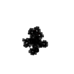 CC1(C)CCC(C)(C)c2cc(Nc3cc4c(cc3-c3c5c(cc6c3sc3ccccc36)N3c6ccccc6C(c6ccccc6)(c6ccccc6)c6cccc(c63)B5)oc3ccccc34)ccc21